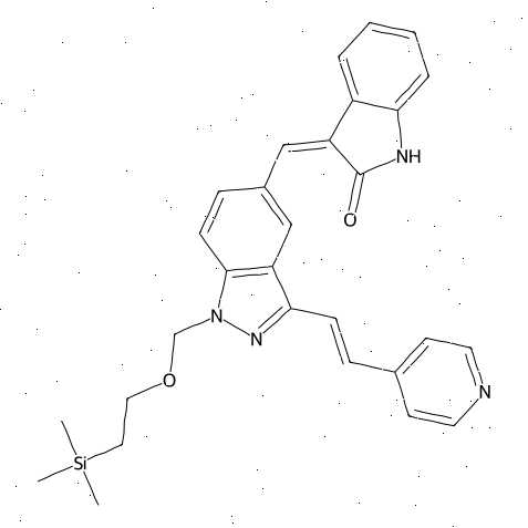 C[Si](C)(C)CCOCn1nc(C=Cc2ccncc2)c2cc(C=C3C(=O)Nc4ccccc43)ccc21